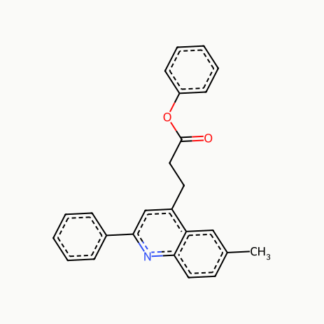 Cc1ccc2nc(-c3ccccc3)cc(CCC(=O)Oc3ccccc3)c2c1